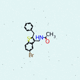 CC(=O)NCc1c(Cc2ccccc2)sc2ccc(Br)cc12